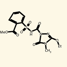 CCOc1nn(C(=O)NS(=O)(=O)c2ccccc2C(=O)OC)c(=O)n1C